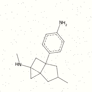 CNC12CC3(c4ccc(N)cc4)CC(C)CC13C2